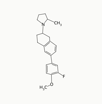 COc1ccc(-c2ccc3c(c2)CCC(N2CCCC2C)C3)cc1F